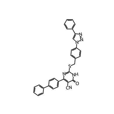 N#Cc1c(-c2ccc(-c3ccccc3)cc2)nc(SCc2ccc(-n3cc(-c4ccccc4)nn3)cc2)[nH]c1=O